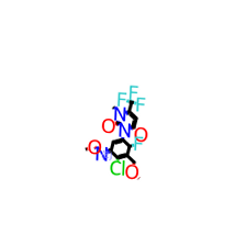 COCC1=C(Cl)/C(=N/OC)C=C(n2c(=O)cc(C(F)(F)F)n(C)c2=O)C1F